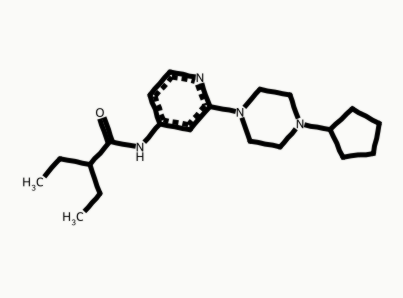 CCC(CC)C(=O)Nc1ccnc(N2CCN(C3CCCC3)CC2)c1